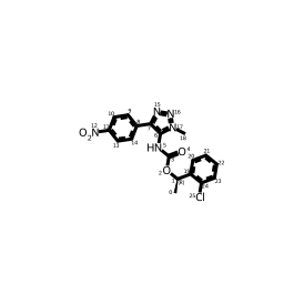 C[C@@H](OC(=O)Nc1c(-c2ccc([N+](=O)[O-])cc2)nnn1C)c1ccccc1Cl